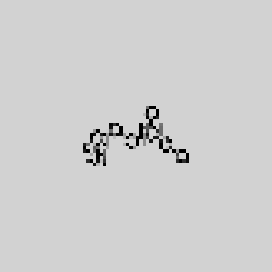 Cc1cc(C)c2ccc3ccc(-c4cccc(-c5cccc(-c6nc(-c7ccccc7)nc(-c7ccc(-c8ccccc8)cc7)n6)c5)c4)nc3c2n1